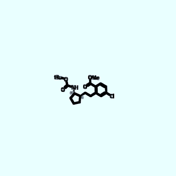 COC(=O)c1ccc(Cl)cc1CC[C@H]1CCC[C@@H]1NC(=O)OC(C)(C)C